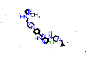 Cn1nccc1NCCN1CCN(c2ccc(-c3nc4c(NC5CCN(CC6CC6)CC5)c(Cl)cnc4[nH]3)cc2)CC1